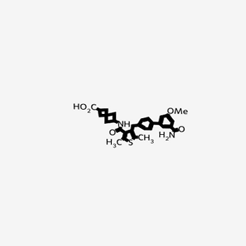 COc1cc(C(N)=O)cc(-c2ccc(Cc3c(C)sc(C)c3C(=O)NC3CC4(C3)CC(C(=O)O)C4)cc2)c1